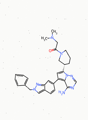 CN(C)CC(=O)N1CCC[C@H](c2cc(-c3ccc4cn(Cc5ccccc5)nc4c3)c3c(N)ncnn23)C1